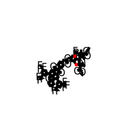 CCOC(=O)C1=C(C)/C(=C(\c2c(C)cc(OC(=O)Cc3ccc(-n4c(=O)c5cc(-c6cc(C(F)(F)F)cc(C(F)(F)F)c6)c6oc7ccccc7c7c(-c8cc(C(F)(F)F)cc(C(F)(F)F)c8)cc(c4=O)c5c67)cc3)cc2C)c2c(C)c(C(=O)OCC)c(C)n2B(F)F)N=C1C